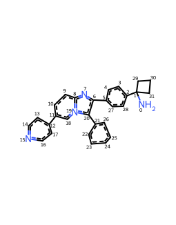 NC1(c2ccc(-c3nc4ccc(-c5ccncc5)cn4c3-c3ccccc3)cc2)CCC1